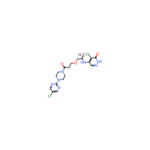 CC(COCCC(=O)N1CCN(c2ncc(Cl)cn2)CC1)Nc1cn[nH]c(=O)c1Cl